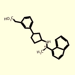 C[C@@H](NC1CCC(c2cccc(CC(=O)O)c2)C1)c1cccc2ccccc12